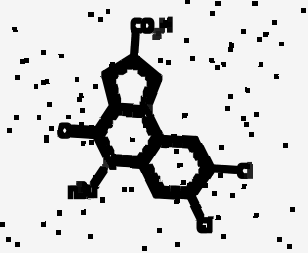 CCCCn1c(=O)c2cc(C(=O)O)cn2c2cc(Cl)c(Cl)cc21